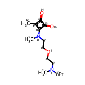 CCCN(C)CCOCCN(C)c1c(C)c(=O)c1=O